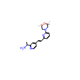 CC(N)c1cc(C=Cc2cccc(N3C[C@@H](C)O[C@@H](C)C3)n2)ccn1